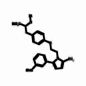 CCOC(=O)C(Cc1ccc(OCCn2c(C)ccc2-c2cccc(OC)c2)cc1)OCC